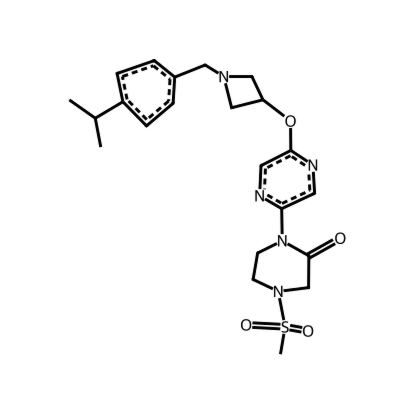 CC(C)c1ccc(CN2CC(Oc3cnc(N4CCN(S(C)(=O)=O)CC4=O)cn3)C2)cc1